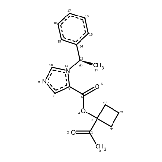 CC(=O)C1(OC(=O)c2cncn2[C@H](C)c2ccccc2)CCC1